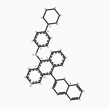 C1=CC2=CC=C(c3c4ccccc4c(Sc4ccc(C5CCCCC5)cc4)c4ccncc34)CC2C=C1